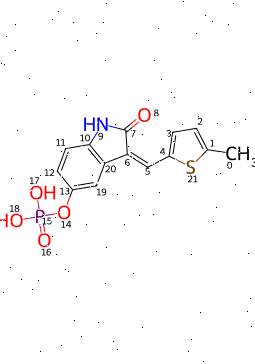 Cc1ccc(C=C2C(=O)Nc3ccc(OP(=O)(O)O)cc32)s1